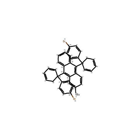 CC(C)(C)c1ccc2c(C3(c4ccc(Br)cc4)C=CC=CC3)c3ccccc3c(C3(c4ccc(Br)cc4)C=CC=CC3)c2c1